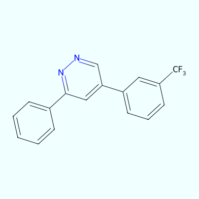 FC(F)(F)c1cccc(-c2cnnc(-c3ccccc3)c2)c1